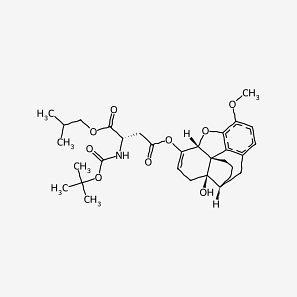 COc1ccc2c3c1O[C@H]1C(OC(=O)C[C@H](NC(=O)OC(C)(C)C)C(=O)OCC(C)C)=CC[C@@]4(O)[C@H](CCC[C@]314)C2